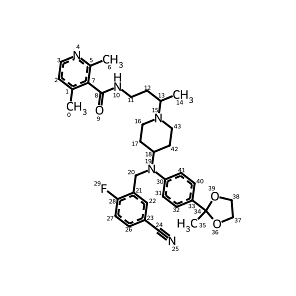 Cc1ccnc(C)c1C(=O)NCCC(C)N1CCC(N(Cc2cc(C#N)ccc2F)c2ccc(C3(C)OCCO3)cc2)CC1